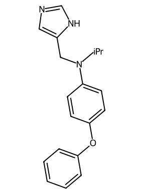 CC(C)N(Cc1cnc[nH]1)c1ccc(Oc2ccccc2)cc1